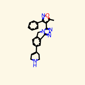 Cc1onc(-c2ccccc2)c1-c1nnc2n1Cc1ccc(C3=CCNCC3)cc1-2